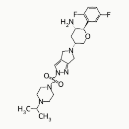 CC(C)N1CCN(S(=O)(=O)n2cc3c(n2)CN([C@H]2CO[C@H](c4cc(F)ccc4F)[C@@H](N)C2)C3)CC1